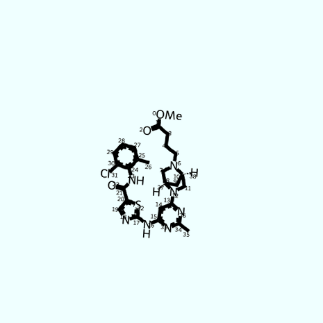 COC(=O)CCCN1C[C@H]2C[C@@H]1CN2c1cc(Nc2ncc(C(=O)Nc3c(C)cccc3Cl)s2)nc(C)n1